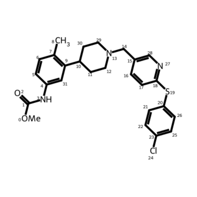 COC(=O)Nc1ccc(C)c(C2CCN(Cc3ccc(Sc4ccc(Cl)cc4)nc3)CC2)c1